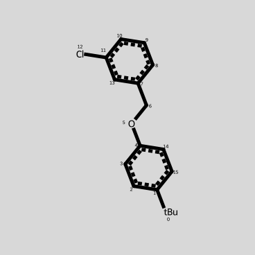 CC(C)(C)c1ccc(OCc2cccc(Cl)c2)cc1